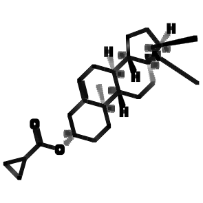 C[C@H]1[C@H]2CC[C@H]3[C@@H]4CC=C5C[C@@H](OC(=O)C6CC6)CC[C@]5(C)[C@H]4CC[C@]23CN1C